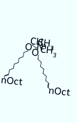 CCCCCCCCC=CCCCCCCCCOC(C)C(OCCCCCCCCC=CCCCCCCCC)N(C)C